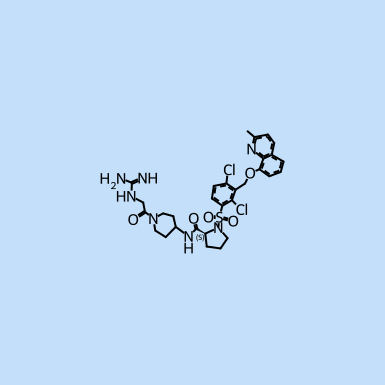 Cc1ccc2cccc(OCc3c(Cl)ccc(S(=O)(=O)N4CCC[C@H]4C(=O)NC4CCN(C(=O)CNC(=N)N)CC4)c3Cl)c2n1